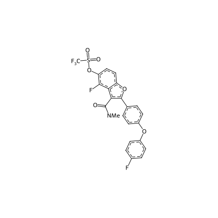 CNC(=O)c1c(-c2ccc(Oc3ccc(F)cc3)cc2)oc2ccc(OS(=O)(=O)C(F)(F)F)c(F)c12